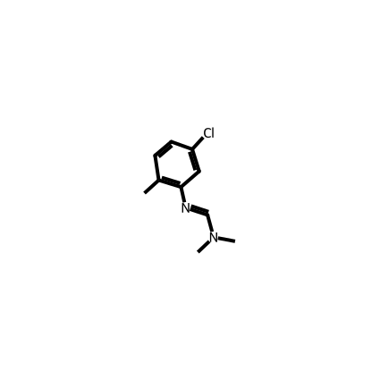 Cc1ccc(Cl)cc1N=CN(C)C